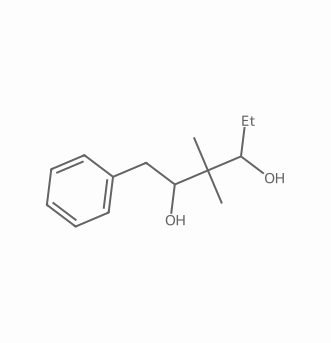 CCC(O)C(C)(C)C(O)Cc1ccccc1